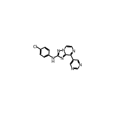 Clc1ccc(Nc2nc3c(-c4cncnc4)nccn3n2)cc1